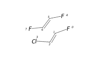 FC=CCl.FC=CF